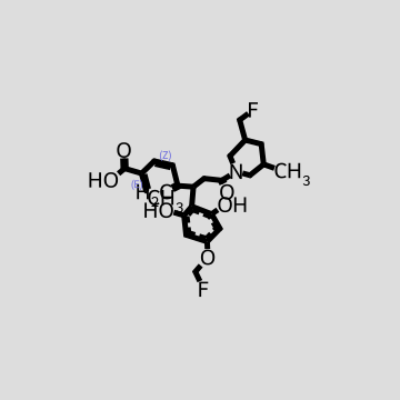 C=C(/C=C\C(=C/C)C(=O)O)C(CC(=O)N1CC(C)CC(CF)C1)c1c(O)cc(OCF)cc1O